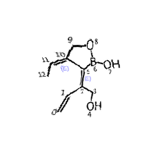 C=C/C(CO)=C1/B(O)OC/C1=C/C